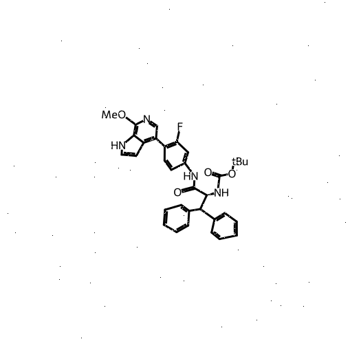 COc1ncc(-c2ccc(NC(=O)[C@@H](NC(=O)OC(C)(C)C)C(c3ccccc3)c3ccccc3)cc2F)c2cc[nH]c12